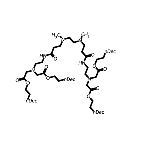 CCCCCCCCCCCCOC(=O)CN(CCNC(=O)CCN(C)CCN(C)CCC(=O)NCCN(CC(=O)OCCCCCCCCCCCC)CC(=O)OCCCCCCCCCCCC)CC(=O)OCCCCCCCCCCCC